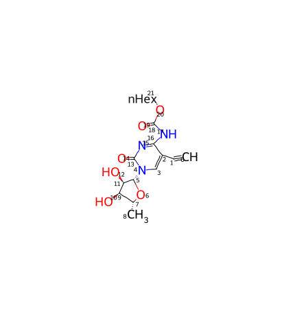 C#Cc1cn([C@@H]2O[C@H](C)[C@@H](O)[C@H]2O)c(=O)nc1NC(=O)OCCCCCC